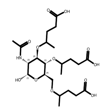 CC(=O)N[C@@H]1[C@@H](OC(C)CCC(=O)O)[C@H](OC(C)CCC(=O)O)[C@@H](COC(C)CCC(=O)O)O[C@@H]1O